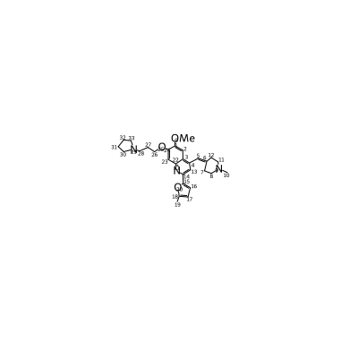 COc1cc2c(C=C3CCN(C)CC3)cc(-c3ccc(C)o3)nc2cc1OCCCN1CCCC1